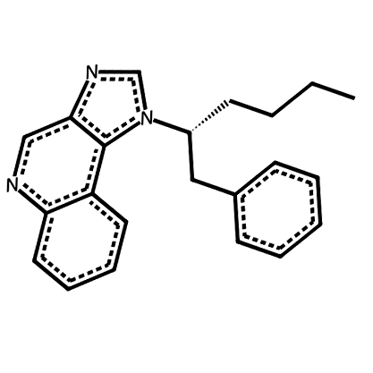 CCCC[C@H](Cc1ccccc1)n1cnc2cnc3ccccc3c21